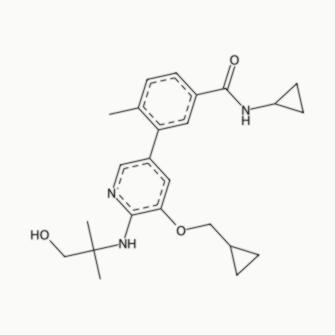 Cc1ccc(C(=O)NC2CC2)cc1-c1cnc(NC(C)(C)CO)c(OCC2CC2)c1